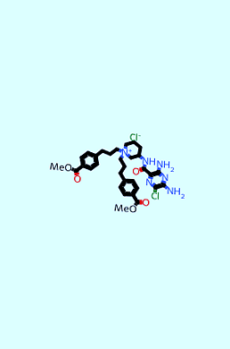 COC(=O)c1ccc(CCC[N+]2(CCCc3ccc(C(=O)OC)cc3)CCCC(NC(=O)c3nc(Cl)c(N)nc3N)C2)cc1.[Cl-]